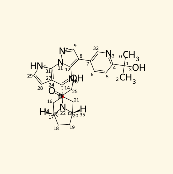 CC(C)(O)c1ccc(-c2cnn3c2nc([C@H]2C[C@H]4CC[C@@H](C2)N4C(=O)CO)c2cc[nH]c23)cn1